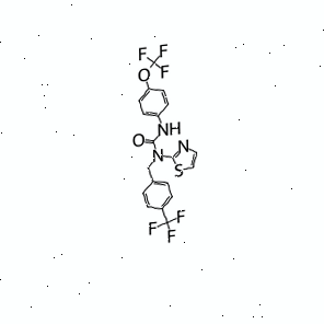 O=C(Nc1ccc(OC(F)(F)F)cc1)N(Cc1ccc(C(F)(F)F)cc1)c1nccs1